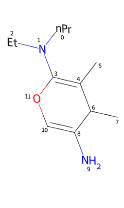 CCCN(CC)C1=C(C)C(C)C(N)=CO1